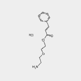 Cl.NCCOCCOC(=O)C=Cc1ccccc1